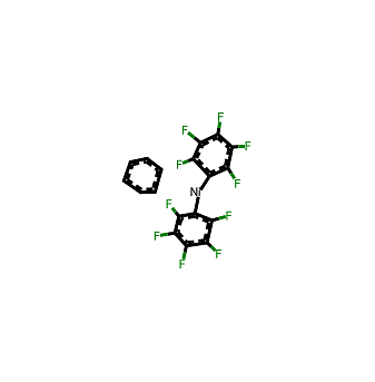 Fc1c(F)c(F)[c]([Ni][c]2c(F)c(F)c(F)c(F)c2F)c(F)c1F.c1ccccc1